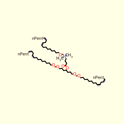 CCCCC/C=C\C/C=C\CCCCCCCCOCOCCCC(CCCOCOCCCCCCCC/C=C\C/C=C\CCCCC)OC(=O)CCC[N+](C)(C)COCCCCCCCC/C=C\C/C=C\CCCCC